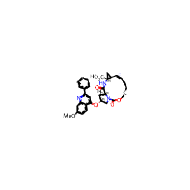 COc1ccc2c(O[C@@H]3C[C@H]4C(=O)N[C@]5(C(=O)O)CC5/C=C\CCCCOC(=O)N4C3)cc(-c3ccccc3)nc2c1